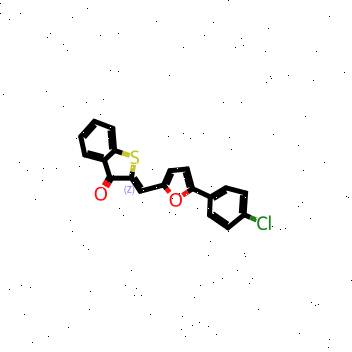 O=C1/C(=C/c2ccc(-c3ccc(Cl)cc3)o2)Sc2ccccc21